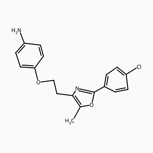 Cc1oc(-c2ccc(Cl)cc2)nc1CCOc1ccc(N)cc1